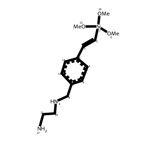 CO[Si](C=Cc1ccc(CNCCN)cc1)(OC)OC